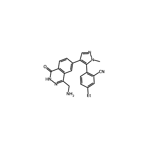 CCc1ccc(-c2c(-c3ccc4c(=O)[nH]nc(CN)c4c3)cnn2C)c(C#N)c1